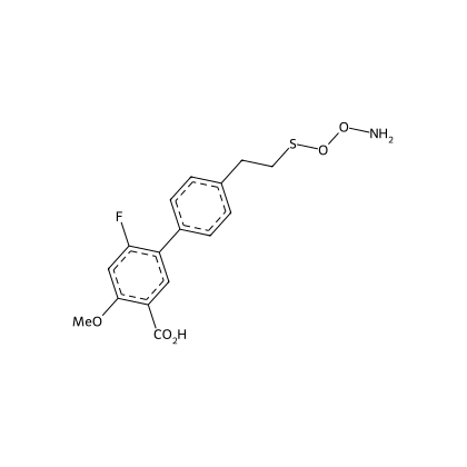 COc1cc(F)c(-c2ccc(CCSOON)cc2)cc1C(=O)O